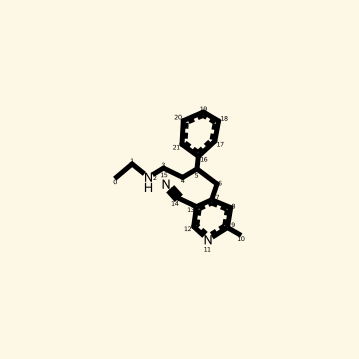 CCNCCC(Cc1cc(C)ncc1C#N)c1ccccc1